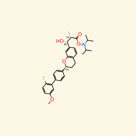 COc1ccc(F)c(-c2ccc([C@@H]3CCc4ccc([C@H](O)[C@H](C)C(=O)ON(C(C)C)C(C)C)cc4O3)cc2)c1